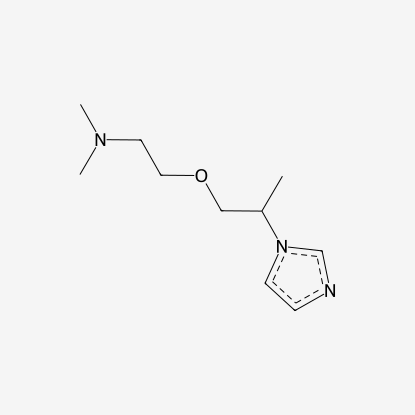 CC(COCCN(C)C)n1ccnc1